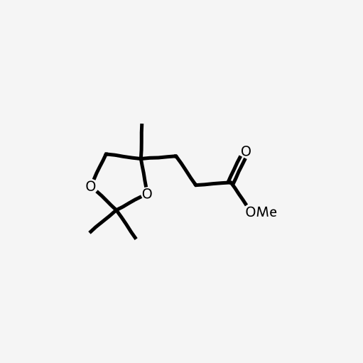 COC(=O)CCC1(C)COC(C)(C)O1